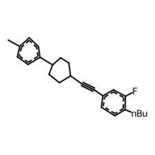 CCCCc1ccc(C#CC2CCC(c3ccc(C)cc3)CC2)cc1F